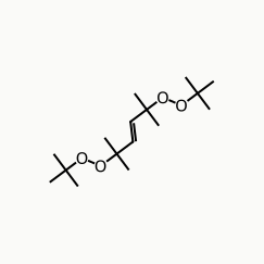 CC(C)(C)OOC(C)(C)C=CC(C)(C)OOC(C)(C)C